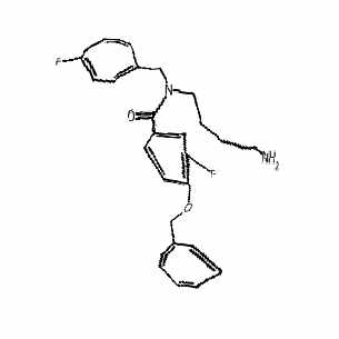 NCCCCN(Cc1ccc(F)cc1)C(=O)c1ccc(OCc2ccccc2)c(F)c1